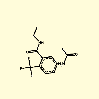 CC(N)=O.CCNC(=O)c1cnccc1C(F)(F)F